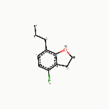 CCCc1ccc(F)c2c1OCC2